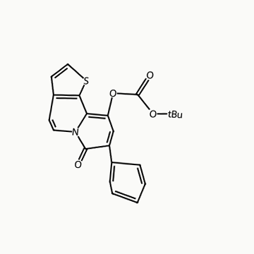 CC(C)(C)OC(=O)Oc1cc(-c2ccccc2)c(=O)n2ccc3ccsc3c12